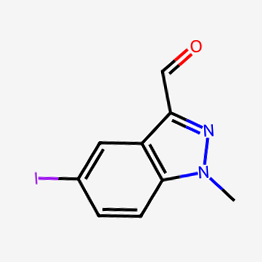 Cn1nc(C=O)c2cc(I)ccc21